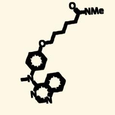 CNC(=O)CCCCCOc1ccc(N(C)c2ncnc3ccccc23)cc1